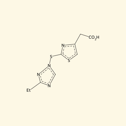 CCc1ncn(Sc2nc(CC(=O)O)cs2)n1